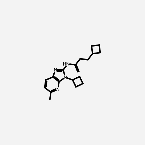 C=C(CCC1CCC1)Nc1nc2ccc(C)nc2n1C1CCC1